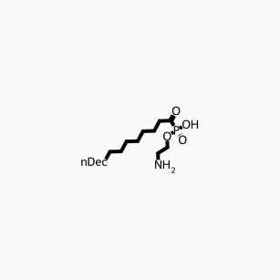 CCCCCCCCCCCCCCCCCC(=O)P(=O)(O)OCCN